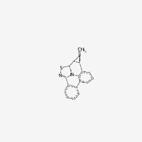 C=C1C2c3cccc4c3N3C(=NSC3C12)c1ccccc1-4